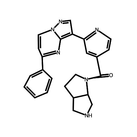 O=C(c1ccnc(-c2cnn3ccc(-c4ccccc4)nc23)c1)N1CCC2CNCC21